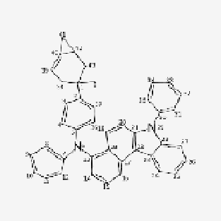 CC1(c2ccc(N(c3ccccc3)c3cccc4c3ccc3c4c4ccccc4n3-c3ccccc3)cc2)CC=C2CC2C1